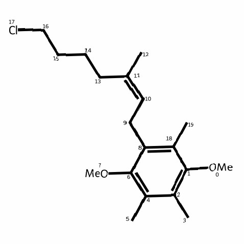 COc1c(C)c(C)c(OC)c(CC=C(C)CCCCCl)c1C